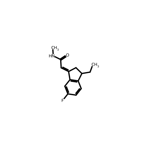 CCC1C/C(=C\C(=O)NC)c2cc(F)ccc21